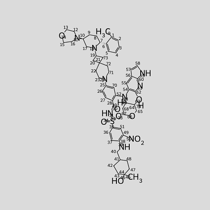 Cc1ccccc1[C@H]1CC[C@H](N2CCOCC2)CN1C1CC2(CCN(c3ccc(C(=O)NS(=O)(=O)c4ccc(NCC5CCC(C)(O)CC5)c([N+](=O)[O-])c4)c(N4c5cc6cc[nH]c6nc5O[C@H]5COCC[C@@H]54)c3)CC2)C1